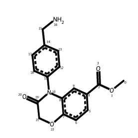 COC(=O)c1ccc2c(c1)N(c1ccc(CN)cc1)C(=O)CO2